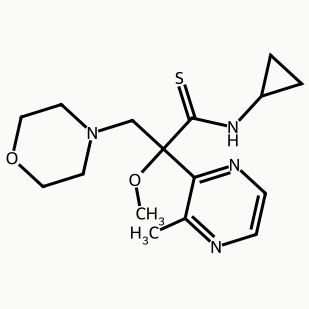 COC(CN1CCOCC1)(C(=S)NC1CC1)c1nccnc1C